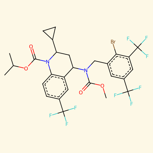 COC(=O)N(Cc1cc(C(F)(F)F)cc(C(F)(F)F)c1Br)C1CC(C2CC2)N(C(=O)OC(C)C)c2ccc(C(F)(F)F)cc21